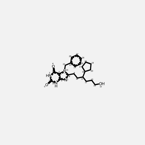 O=c1[nH]c(=O)c2c(nc(CCC(CCCO)C3CCCC3)n2Cc2ccccc2)[nH]1